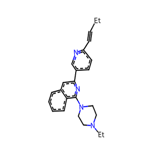 CCC#Cc1ccc(-c2cc3ccccc3c(N3CCN(CC)CC3)n2)cn1